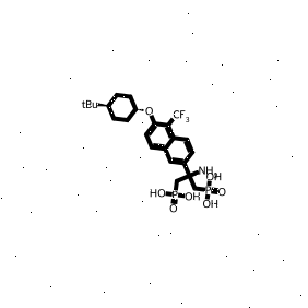 CC(C)(C)[C@H]1CC[C@H](Oc2ccc3cc(C(N)(CP(=O)(O)O)CP(=O)(O)O)ccc3c2C(F)(F)F)CC1